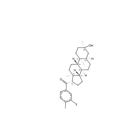 Cc1ccc(C(=O)[C@H]2CC[C@H]3[C@@H]4CC[C@@H]5C[C@](C)(O)CC[C@]5(C)[C@H]4CC[C@]23C)cc1F